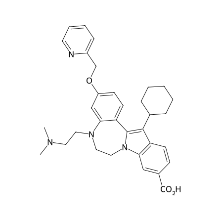 CN(C)CCN1CCn2c(c(C3CCCCC3)c3ccc(C(=O)O)cc32)-c2ccc(OCc3ccccn3)cc21